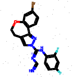 N=C/N=C(\Nc1ccc(F)cc1F)n1cc2c(n1)-c1ccc(Br)cc1OCC2